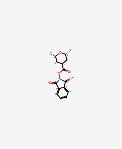 C[C@@H]1CC(C(=O)ON2C(=O)c3ccccc3C2=O)C[C@H](C)O1